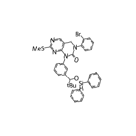 CSc1ncc2c(n1)N(c1cccc(C(O[SiH](c3ccccc3)c3ccccc3)C(C)(C)C)c1)C(=O)N(c1ccccc1Br)C2